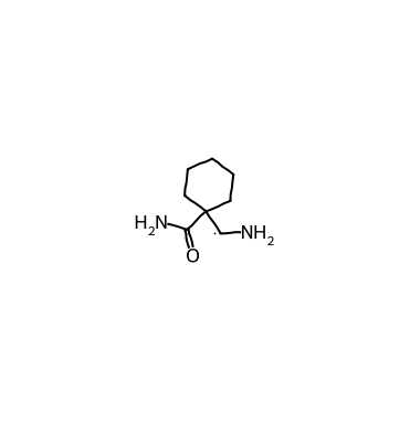 N[CH]C1(C(N)=O)CCCCC1